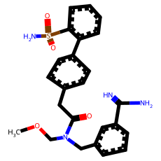 COCN(Cc1cccc(C(=N)N)c1)C(=O)Cc1ccc(-c2ccccc2S(N)(=O)=O)cc1